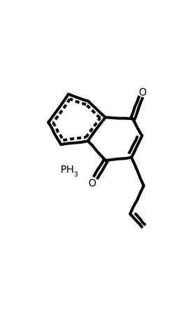 C=CCC1=CC(=O)c2ccccc2C1=O.P